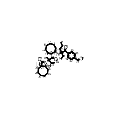 CCCC(CC)(N[C@H]1CCCCCC[C@H]1C(=O)C(C)(CC)N1C(=O)[C@@H]2CCCCCC[C@@H]21)C(=O)c1ccc(C=O)cc1